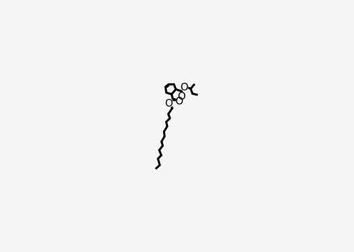 CCCCCCCCCCCCCCOC(=O)C1CC=CCC1C(=O)OC(C)CC